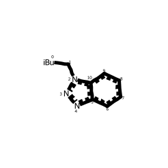 CCC(C)Cn1nnc2ccccc21